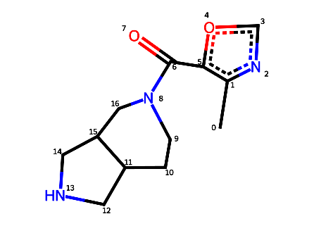 Cc1ncoc1C(=O)N1CCC2CNCC2C1